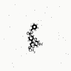 COC(=O)CC(C1CCN(C(=O)OCc2ccccc2)CC1)N1CCNCC1=O